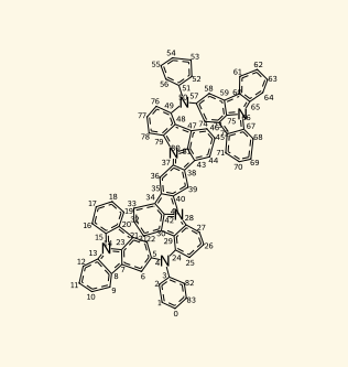 c1ccc(N(c2cc3c4ccccc4n4c5ccccc5c(c2)c34)c2cccc3c2c2cccc4c5cc6c(cc5n3c42)c2cccc3c4c(N(c5ccccc5)c5cc7c8ccccc8n8c9ccccc9c(c5)c78)cccc4n6c23)cc1